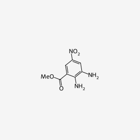 COC(=O)c1cc([N+](=O)[O-])cc(N)c1N